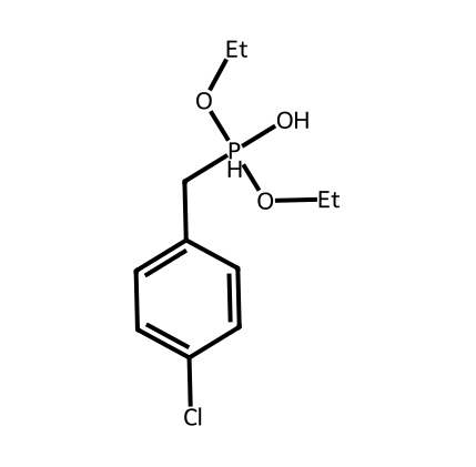 CCO[PH](O)(Cc1ccc(Cl)cc1)OCC